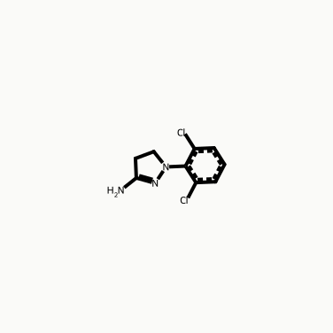 NC1=NN(c2c(Cl)cccc2Cl)CC1